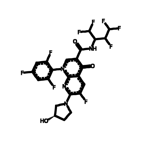 O=C(NC(C(F)F)C(F)C(F)F)c1cn(-c2c(F)cc(F)cc2F)c2nc(N3CC[C@H](O)C3)c(F)cc2c1=O